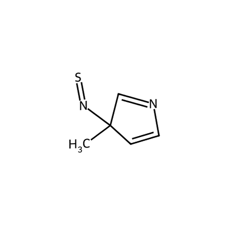 CC1(N=S)C=CN=C1